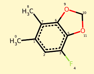 Cc1cc(F)c2c(c1C)OCO2